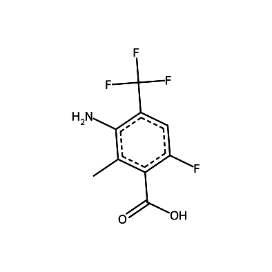 Cc1c(N)c(C(F)(F)F)cc(F)c1C(=O)O